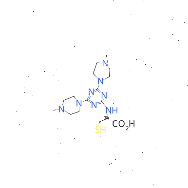 CN1CCN(c2nc(N[C@@H](CS)C(=O)O)nc(N3CCN(C)CC3)n2)CC1